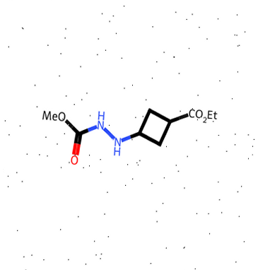 CCOC(=O)C1CC(NNC(=O)OC)C1